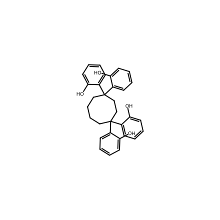 Oc1ccccc1C1(c2ccccc2O)CCCCC(c2ccccc2O)(c2ccccc2O)CC1